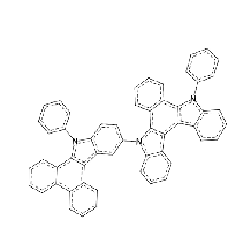 c1ccc(-n2c3ccc(-n4c5ccccc5c5c6c7ccccc7n(-c7ccccc7)c6c6ccccc6c54)cc3c3c4ccccc4c4ccccc4c32)cc1